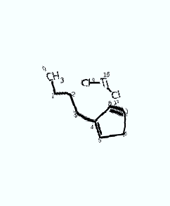 CCCCC1=C[CH]C=C1.[Cl][Ti][Cl]